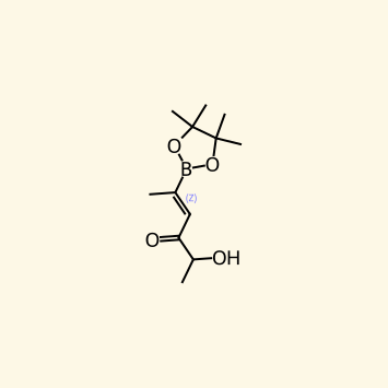 C/C(=C\C(=O)C(C)O)B1OC(C)(C)C(C)(C)O1